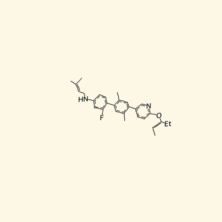 CC=C(CC)Oc1ccc(-c2cc(C)c(-c3ccc(NCC=C(C)C)cc3F)cc2C)cn1